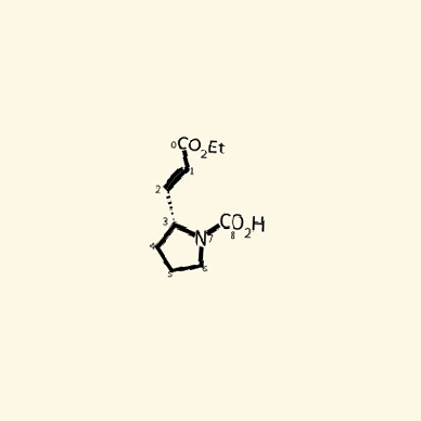 CCOC(=O)C=C[C@H]1CCCN1C(=O)O